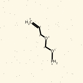 C=CCOCOP